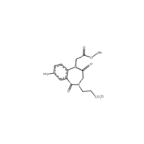 CCOC(=O)CCN1CC(=O)N(CC(=O)OC(C)(C)C)c2ccc(O)cc2C1=O